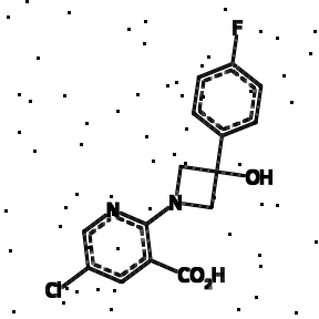 O=C(O)c1cc(Cl)cnc1N1CC(O)(c2ccc(F)cc2)C1